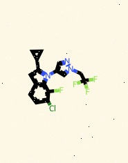 Fc1c(Cl)ccc2cc(C3CC3)n(-c3cnn(CC(F)(F)F)c3)c12